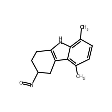 Cc1ccc(C)c2c3c([nH]c12)CCC(N=O)C3